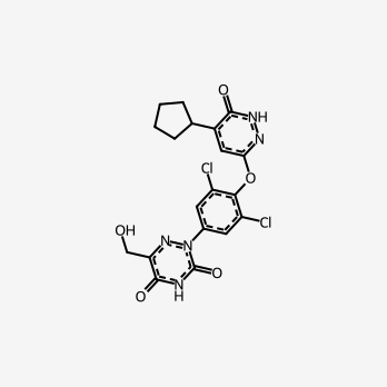 O=c1[nH]nc(Oc2c(Cl)cc(-n3nc(CO)c(=O)[nH]c3=O)cc2Cl)cc1C1CCCC1